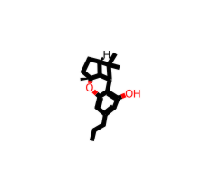 CCCc1cc(O)c2c(c1)O[C@]1(C)CC[C@H]3C1C2C3(C)C